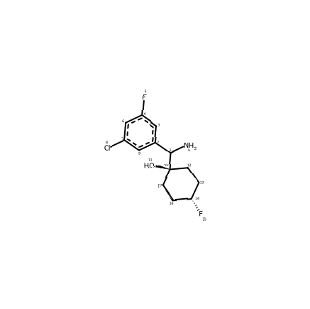 NC(c1cc(F)cc(Cl)c1)[C@]1(O)CC[C@H](F)CC1